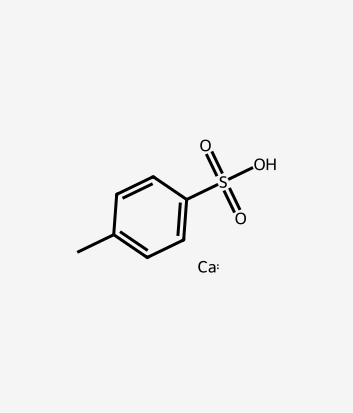 Cc1ccc(S(=O)(=O)O)cc1.[Ca]